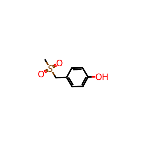 CS(=O)(=O)Cc1ccc(O)cc1